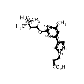 Cc1cc(-c2cnn(CCC(=O)O)c2)nc(OCC[Si](C)(C)C)n1